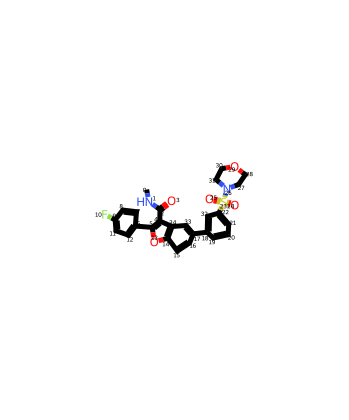 CNC(=O)c1c(-c2ccc(F)cc2)oc2ccc(-c3cccc(S(=O)(=O)N4CCOCC4)c3)cc12